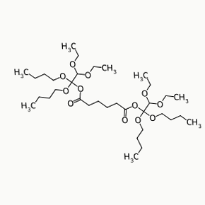 CCCCOC(OCCCC)(OC(=O)CCCCC(=O)OC(OCCCC)(OCCCC)C(OCC)OCC)C(OCC)OCC